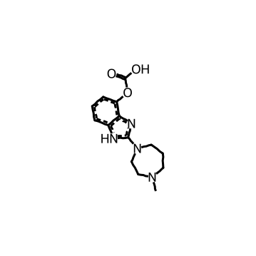 CN1CCCN(c2nc3c(OC(=O)O)cccc3[nH]2)CC1